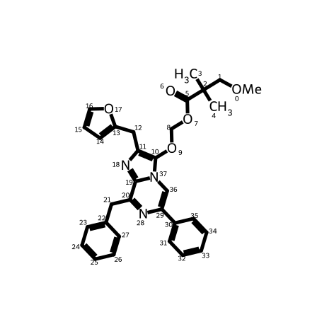 COCC(C)(C)C(=O)OCOc1c(Cc2ccco2)nc2c(Cc3ccccc3)nc(-c3ccccc3)cn12